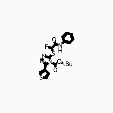 CC(C)(C)OC(=O)n1c(SC(F)C(=O)Nc2ccccc2)nnc1-c1ccsc1